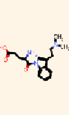 CN(C)CCc1cn(C(=O)C(N)CCC(=O)O)c2ccccc12